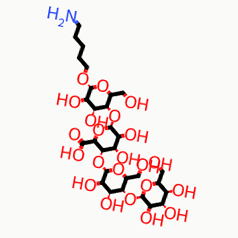 NCCCCCO[C@@H]1OC(CO)[C@@H](O[C@@H]2OC(C(=O)O)[C@@H](O[C@H]3OC(CO)[C@H](O[C@H]4OC(CO)[C@@H](O)[C@H](O)C4O)[C@H](O)C3O)[C@H](O)C2O)[C@H](O)C1O